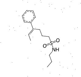 C/C=C(\CCCS(=O)(=O)NCCC)c1ccccc1